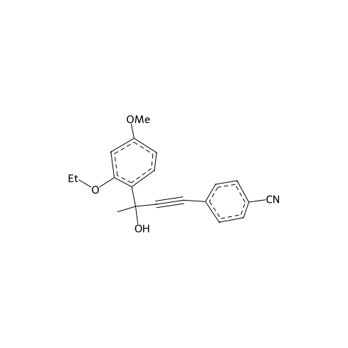 CCOc1cc(OC)ccc1C(C)(O)C#Cc1ccc(C#N)cc1